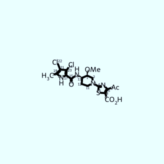 CO[C@H]1CN(c2nc(C(C)=O)c(C(=O)O)s2)CC[C@H]1NC(=O)c1[nH]c(C)c(Cl)c1Cl